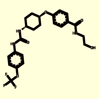 O=C(Nc1ccc(OC(F)(F)F)cc1)N[C@H]1CC[C@H](Oc2ccc(C(=O)NCCO)cc2)CC1